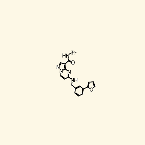 CC(C)NC(=O)c1cnn2ccc(NCc3cccc(-c4ccco4)c3)nc12